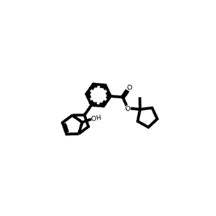 CC1(OC(=O)c2cccc(C3CC4C=CC3C4O)c2)CCCC1